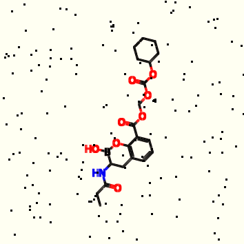 CCC(=O)NC1Cc2cccc(C(=O)OCOC(=O)OC3CCCCC3)c2OB1O